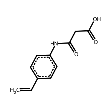 C=Cc1ccc(NC(=O)CC(=O)O)cc1